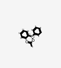 CC(=O)OP(c1ccccc1)c1ccccc1